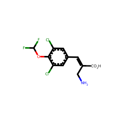 NCC(=Cc1cc(Cl)c(OC(F)F)c(Cl)c1)C(=O)O